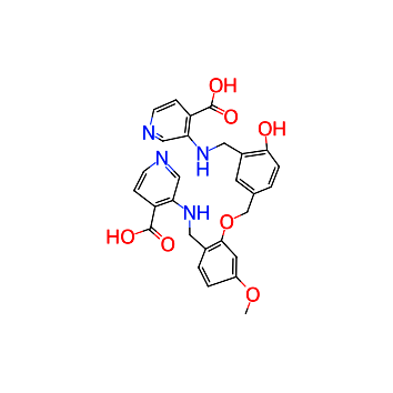 COc1ccc(CNc2cnccc2C(=O)O)c(OCc2ccc(O)c(CNc3cnccc3C(=O)O)c2)c1